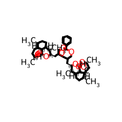 C[C@H]1[C@@H](CC2COC3(c4ccccc4)OCC(C[C@H]4O[C@@H]5O[C@]6(C)CC[C@H]7[C@H](C)CC[C@@H]([C@H]4C)[C@@]57OO6)C2O3)O[C@@H]2O[C@]3(C)CC[C@H]4[C@H](C)CC[C@@H]1[C@@]24OO3